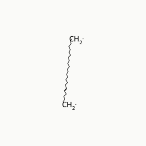 [CH2]CCCCC=CCCCCCCCCCCCCCCCCC[CH2]